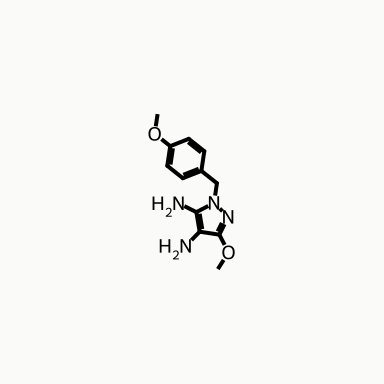 COc1ccc(Cn2nc(OC)c(N)c2N)cc1